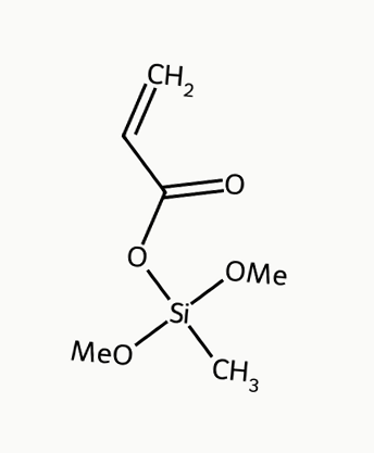 C=CC(=O)O[Si](C)(OC)OC